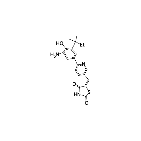 CCC(C)(C)c1cc(-c2ccc(C=C3SC(=O)NC3=O)cn2)cc(N)c1O